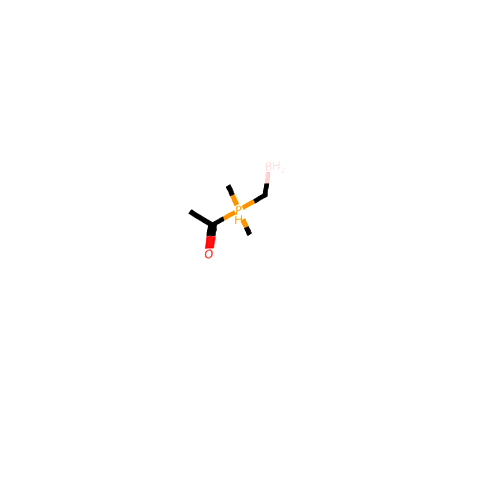 BC[PH](C)(C)C(C)=O